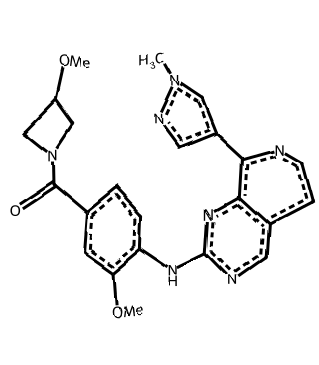 COc1cc(C(=O)N2CC(OC)C2)ccc1Nc1ncc2ccnc(-c3cnn(C)c3)c2n1